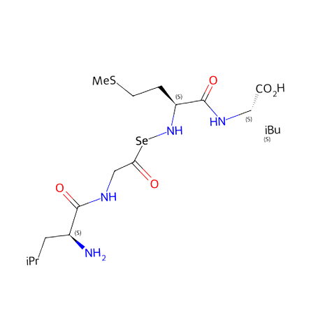 CC[C@H](C)[C@H](NC(=O)[C@H](CCSC)N[Se]C(=O)CNC(=O)[C@@H](N)CC(C)C)C(=O)O